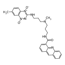 Cc1ccc2c(c1)[n+]([O-])nc(NCCCN(C)CCCNC(=O)c1cccc3cc4ccccc4nc13)[n+]2[O-]